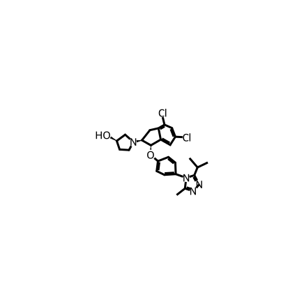 Cc1nnc(C(C)C)n1-c1ccc(O[C@H]2c3cc(Cl)cc(Cl)c3C[C@@H]2N2CC[C@@H](O)C2)cc1